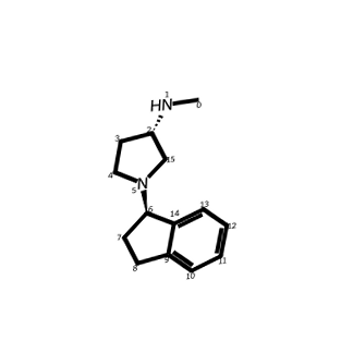 CN[C@H]1CCN([C@@H]2CCc3ccccc32)C1